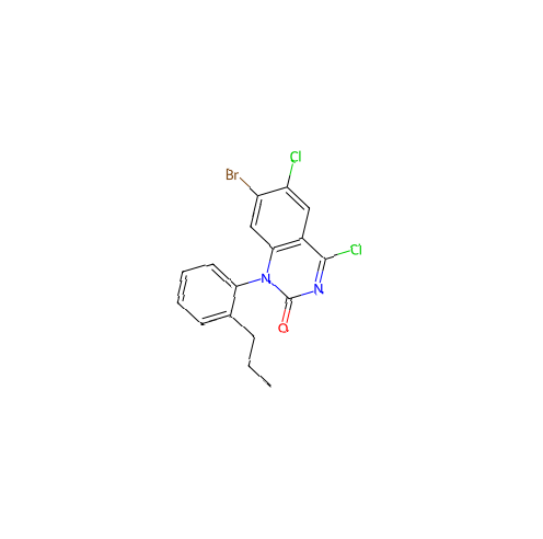 CCCc1ccccc1-n1c(=O)nc(Cl)c2cc(Cl)c(Br)cc21